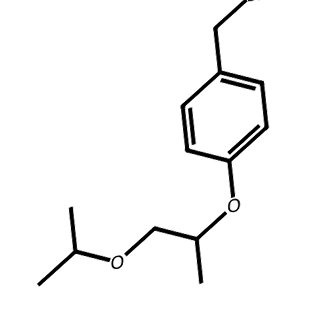 CC(C)OCC(C)Oc1ccc(CBr)cc1